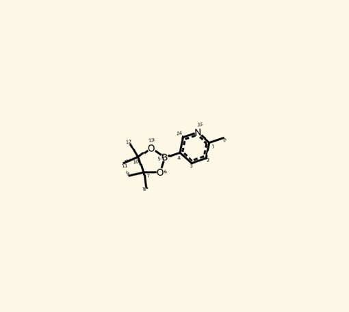 Cc1ccc(B2OC(C)(C)C(C)(C)O2)cn1